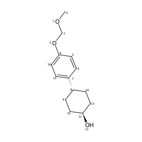 COCOc1ccc([C@H]2CC[C@H](O)CC2)cc1